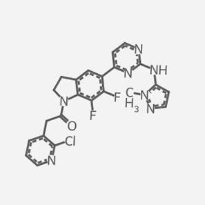 Cn1nccc1Nc1nccc(-c2cc3c(c(F)c2F)N(C(=O)Cc2cccnc2Cl)CC3)n1